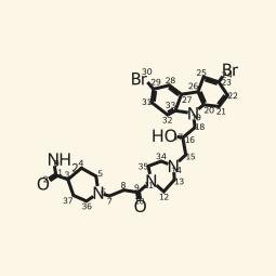 NC(=O)C1CCN(CCC(=O)N2CCN(CC(O)Cn3c4ccc(Br)cc4c4cc(Br)ccc43)CC2)CC1